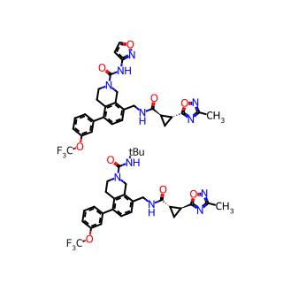 Cc1noc([C@@H]2C[C@H]2C(=O)NCc2ccc(-c3cccc(OC(F)(F)F)c3)c3c2CN(C(=O)Nc2ccon2)CC3)n1.Cc1noc([C@H]2C[C@@H]2C(=O)NCc2ccc(-c3cccc(OC(F)(F)F)c3)c3c2CN(C(=O)NC(C)(C)C)CC3)n1